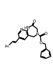 CC(=O)/C=C/c1cnc2c(c1)CN(C(=O)OCc1ccccc1)CC(=O)N2